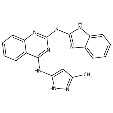 Cc1cc(Nc2nc(Sc3nc4ccccc4[nH]3)nc3ccccc23)[nH]n1